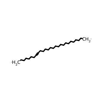 [CH2]CCCCCCC#CCCCCCCCCCCCCCCCCC[CH2]